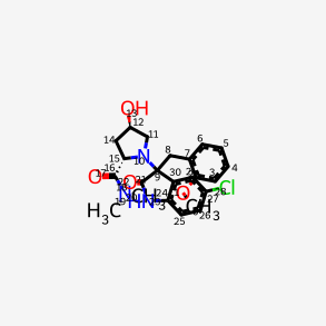 COc1ccccc1CC1(N2C[C@H](O)C[C@H]2C(=O)N(C)C)C(=O)Nc2ccc(Cl)cc21